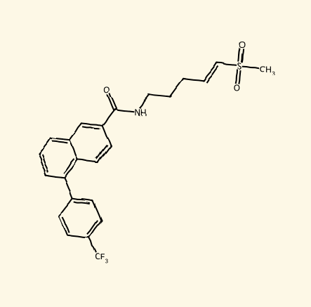 CS(=O)(=O)/C=C/CCCNC(=O)c1ccc2c(-c3ccc(C(F)(F)F)cc3)cccc2c1